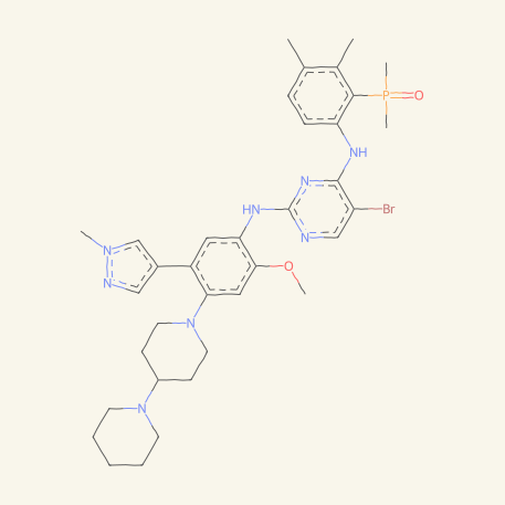 COc1cc(N2CCC(N3CCCCC3)CC2)c(-c2cnn(C)c2)cc1Nc1ncc(Br)c(Nc2ccc(C)c(C)c2P(C)(C)=O)n1